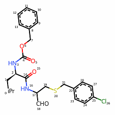 CC(C)C[C@@H](NC(=O)OCc1ccccc1)C(=O)NC(C=O)CSCc1ccc(Cl)cc1